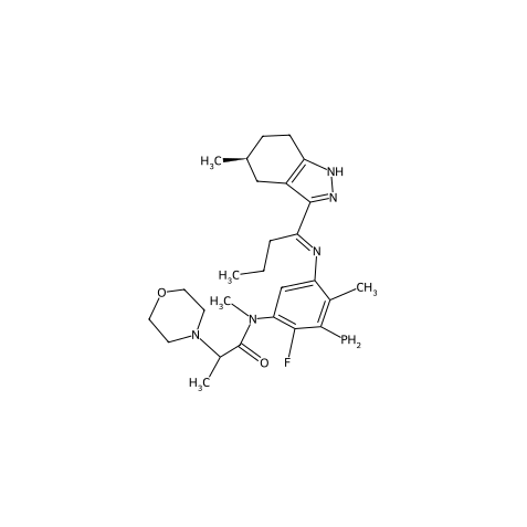 CCC/C(=N\c1cc(N(C)C(=O)C(C)N2CCOCC2)c(F)c(P)c1C)c1n[nH]c2c1C[C@@H](C)CC2